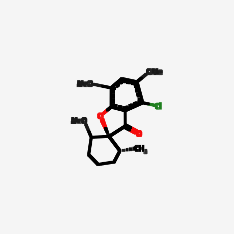 COc1cc(OC)c2c(c1Cl)C(=O)[C@@]1(O2)C(OC)CCC[C@H]1C